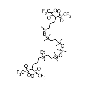 CC[Si](C)(CCCC(S(=O)(=O)C(F)(F)F)S(=O)(=O)C(F)(F)F)CC[Si](C)(C)O[Si](C)(C)O[Si](C)(C)CC[Si](C)(C)C[SiH](C)CCCC(S(=O)(=O)C(F)(F)F)S(=O)(=O)C(F)(F)F